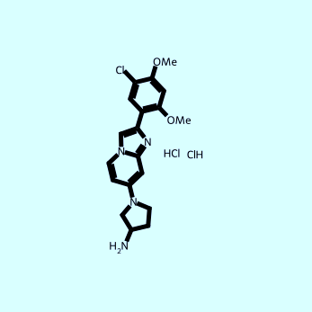 COc1cc(OC)c(-c2cn3ccc(N4CCC(N)C4)cc3n2)cc1Cl.Cl.Cl